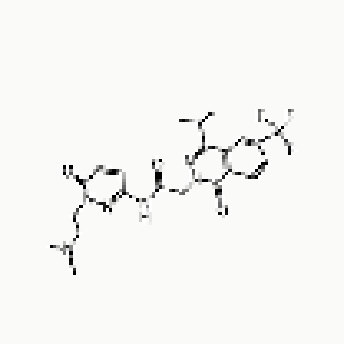 CC(C)c1nn(CC(=O)Nc2ccc(=O)n(CCN(C)C)n2)c(=O)c2ccc(C(F)(F)F)cc12